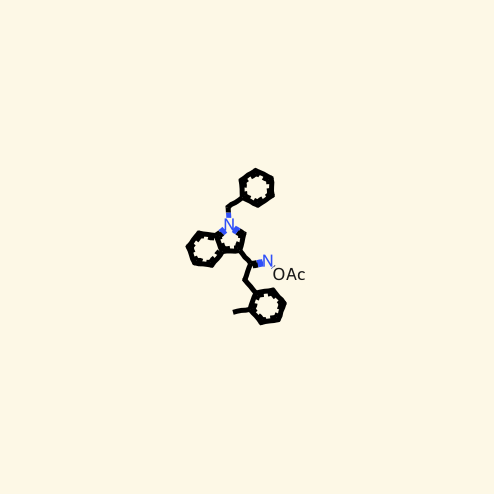 CC(=O)O/N=C(\Cc1ccccc1C)c1cn(Cc2ccccc2)c2ccccc12